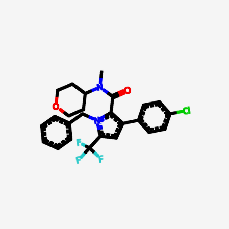 CN(C(=O)c1c(-c2ccc(Cl)cc2)cc(C(F)(F)F)n1Cc1ccccc1)C1CCOCC1